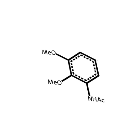 COc1c[c]cc(NC(C)=O)c1OC